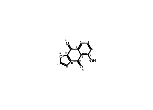 O=C1c2cccc(O)c2C(=O)c2ccoc21